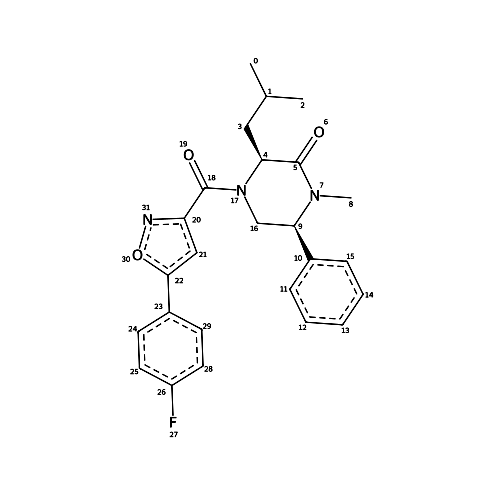 CC(C)C[C@H]1C(=O)N(C)[C@@H](c2ccccc2)CN1C(=O)c1cc(-c2ccc(F)cc2)on1